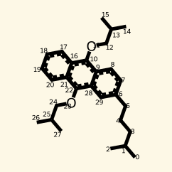 CC(C)CCCc1ccc2c(OCC(C)C)c3ccccc3c(OCC(C)C)c2c1